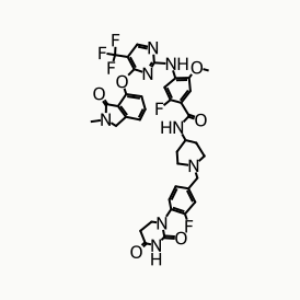 COc1cc(C(=O)NC2CCN(Cc3ccc(N4CCC(=O)NC4=O)c(F)c3)CC2)c(F)cc1Nc1ncc(C(F)(F)F)c(Oc2cccc3c2C(=O)N(C)C3)n1